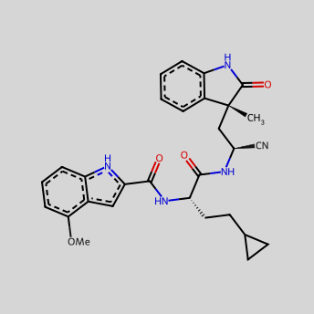 COc1cccc2[nH]c(C(=O)N[C@@H](CCC3CC3)C(=O)N[C@H](C#N)C[C@@]3(C)C(=O)Nc4ccccc43)cc12